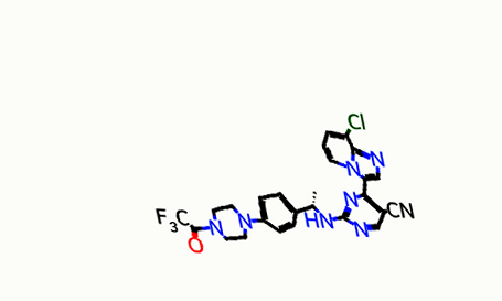 C[C@H](Nc1ncc(C#N)c(-c2cnc3c(Cl)cccn23)n1)c1ccc(N2CCN(C(=O)C(F)(F)F)CC2)cc1